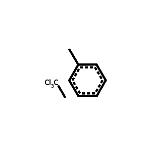 CC(Cl)(Cl)Cl.Cc1ccccc1